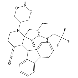 CCCCC1(C(=O)NNCC(F)(F)F)C(C2c3ccccc3-c3ccccc32)C(=C=O)CCN1C1COPOC1